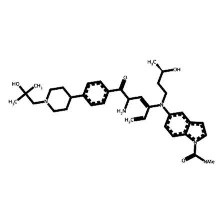 C=C/C(=C\C(N)C(=O)c1ccc(C2CCN(CC(C)(C)O)CC2)cc1)N(CC[C@@H](C)O)c1ccc2c(ccn2C(=O)NC)c1